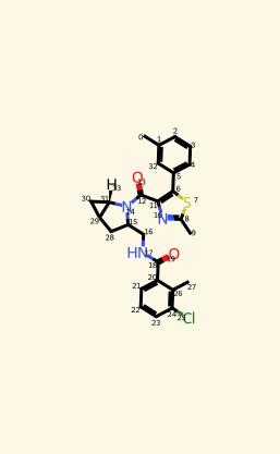 Cc1cccc(-c2sc(C)nc2C(=O)N2C(CNC(=O)c3cccc(Cl)c3C)CC3C[C@@H]32)c1